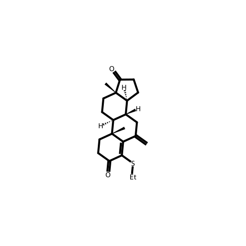 C=C1C[C@@H]2[C@H](CC[C@]3(C)C(=O)CC[C@@H]23)[C@@]2(C)CCC(=O)C(SCC)=C12